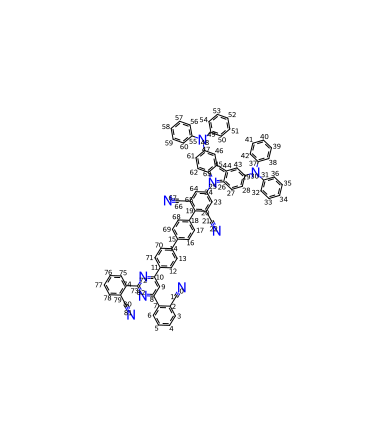 N#Cc1ccccc1-c1cc(-c2ccc(-c3ccc(-c4c(C#N)cc(-n5c6ccc(N(c7ccccc7)c7ccccc7)cc6c6cc(N(c7ccccc7)c7ccccc7)ccc65)cc4C#N)cc3)cc2)nc(-c2ccccc2C#N)n1